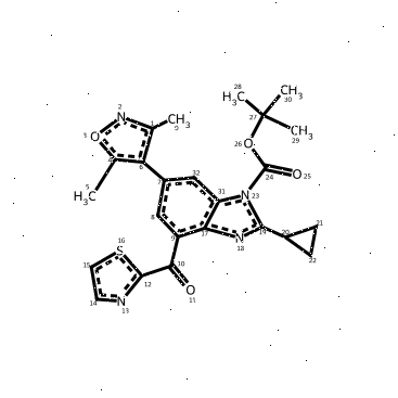 Cc1noc(C)c1-c1cc(C(=O)c2nccs2)c2nc(C3CC3)n(C(=O)OC(C)(C)C)c2c1